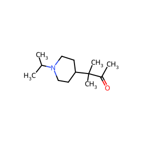 CC(=O)C(C)(C)C1CCN(C(C)C)CC1